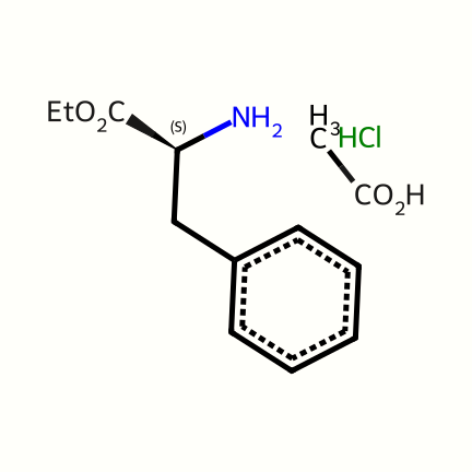 CC(=O)O.CCOC(=O)[C@@H](N)Cc1ccccc1.Cl